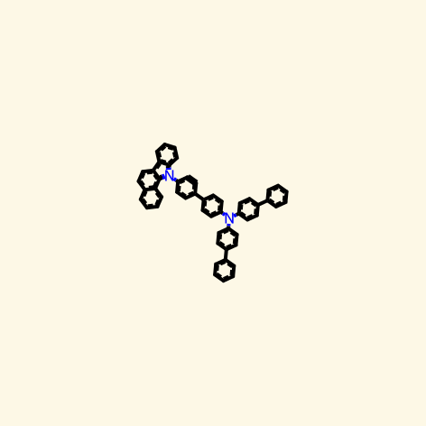 c1c(-c2ccc(N(c3ccc(-c4ccccc4)cc3)c3ccc(-c4ccccc4)cc3)cc2)ccc(-n2c3ccccc3c3ccc4ccccc4c32)c#1